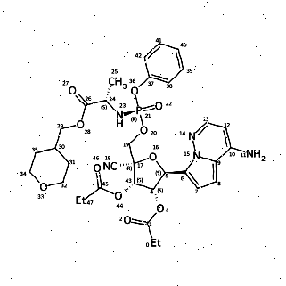 CCC(=O)O[C@H]1[C@H](c2ccc3c(N)ccnn23)O[C@](C#N)(CO[P@](=O)(N[C@@H](C)C(=O)OCC2CCOCC2)Oc2ccccc2)[C@H]1OC(=O)CC